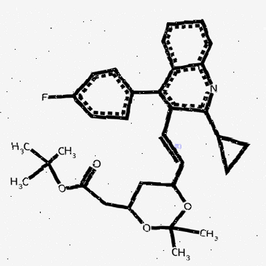 CC(C)(C)OC(=O)CC1CC(/C=C/c2c(C3CC3)nc3ccccc3c2-c2ccc(F)cc2)OC(C)(C)O1